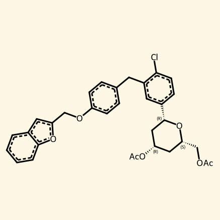 CC(=O)OC[C@@H]1C[C@H](OC(C)=O)C[C@H](c2ccc(Cl)c(Cc3ccc(OCc4cc5ccccc5o4)cc3)c2)O1